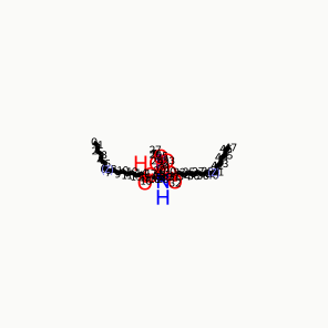 CCCCCC/C=C\CCCCCCCC(=O)OC[C@@]1(COP(=O)(O)OCC)NC1OC(=O)CCCCCCC/C=C\CCCCCC